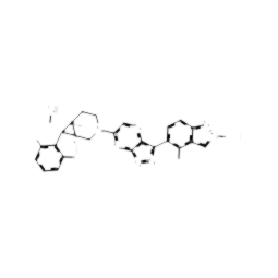 Cc1c(-c2n[nH]c3nc(N4CC[C@@H]5[C@H](C4)[C@@]5(CN)c4c(F)cccc4F)cnc23)ccc2nn(C)cc12